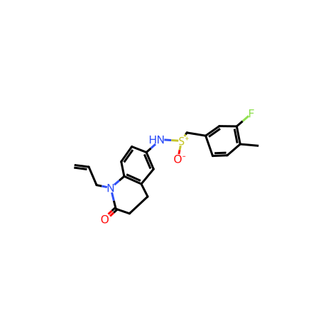 C=CCN1C(=O)CCc2cc(N[S+]([O-])Cc3ccc(C)c(F)c3)ccc21